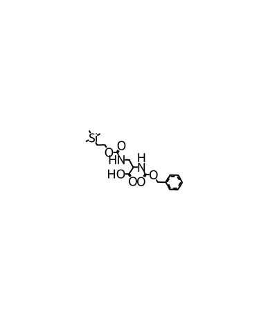 C[Si](C)(C)CCOC(=O)NCC(NC(=O)OCc1ccccc1)C(=O)O